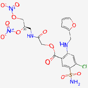 NS(=O)(=O)c1cc(C(=O)OCC(=O)NC[C@H](CO[N+](=O)[O-])O[N+](=O)[O-])c(NCc2ccco2)cc1Cl